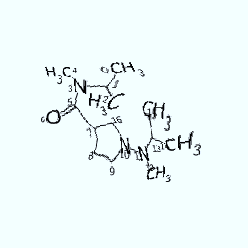 CC(C)N(C)C(=O)C1CCN(N(C)C(C)C)C1